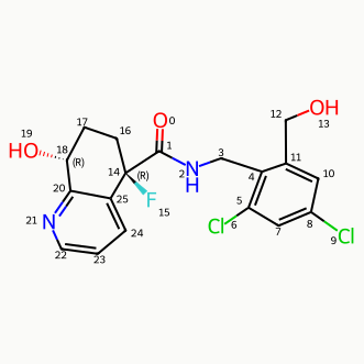 O=C(NCc1c(Cl)cc(Cl)cc1CO)[C@@]1(F)CC[C@@H](O)c2ncccc21